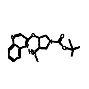 CNC1CN(C(=O)OC(C)(C)C)CC1Oc1cnc2ccccc2n1